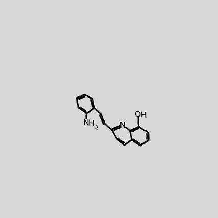 Nc1ccccc1C=Cc1ccc2cccc(O)c2n1